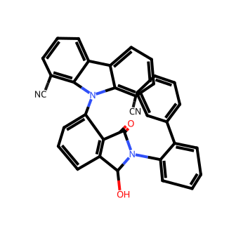 N#Cc1cccc2c3cccc(C#N)c3n(-c3cccc4c3C(=O)N(c3ccccc3-c3ccccc3)C4O)c12